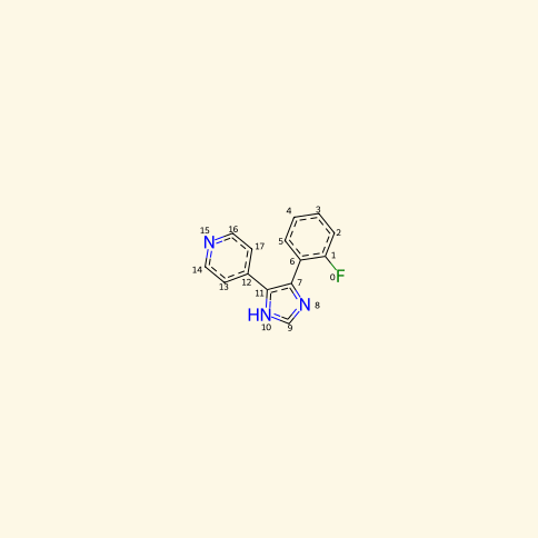 Fc1ccccc1-c1nc[nH]c1-c1ccncc1